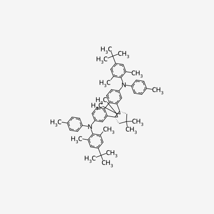 Cc1ccc(N(c2ccc3c(c2)[C@]24CC(C)(C)C[C@]2(CC(C)(C)C4)c2cc(N(c4ccc(C)cc4)c4c(C)cc(C(C)(C)C)cc4C)ccc2-3)c2c(C)cc(C(C)(C)C)cc2C)cc1